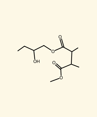 CCC(O)COC(=O)C(C)C(C)C(=O)OC